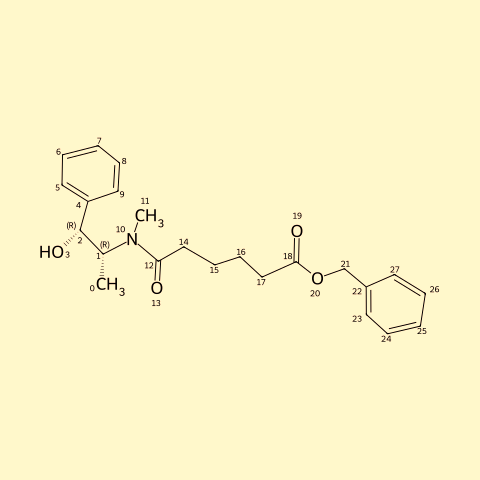 C[C@H]([C@H](O)c1ccccc1)N(C)C(=O)CCCCC(=O)OCc1ccccc1